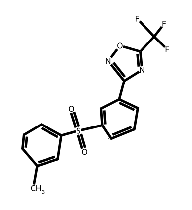 Cc1cccc(S(=O)(=O)c2[c]ccc(-c3noc(C(F)(F)F)n3)c2)c1